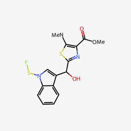 CNc1sc(C(O)c2cn(SF)c3ccccc23)nc1C(=O)OC